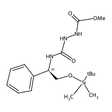 COC(=O)NNC(=O)N[C@@H](CO[Si](C)(C)C(C)(C)C)c1ccccc1